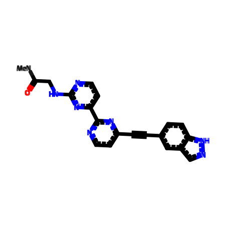 CNC(=O)CNc1nccc(-c2nccc(C#Cc3ccc4[nH]ncc4c3)n2)n1